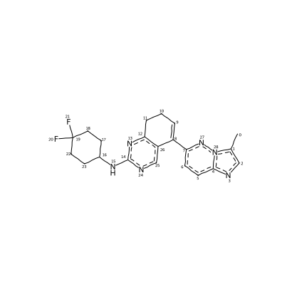 Cc1cnc2ccc(C3=CCCc4nc(NC5CCC(F)(F)CC5)ncc43)nn12